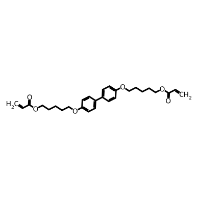 C=CC(=O)OCCCCCOc1ccc(-c2ccc(OCCCCCOC(=O)C=C)cc2)cc1